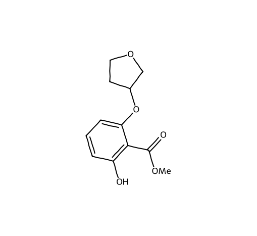 COC(=O)c1c(O)cccc1OC1CCOC1